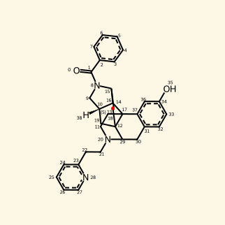 O=C(c1ccccc1)N1C[C@H]2CC34CCC1C2C31CCN(CCc2ccccn2)C4Cc2ccc(O)cc21